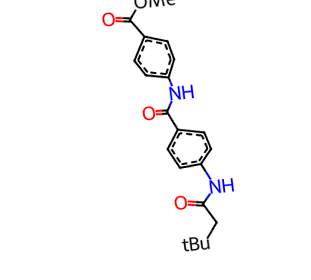 COC(=O)c1ccc(NC(=O)c2ccc(NC(=O)CC(C)(C)C)cc2)cc1